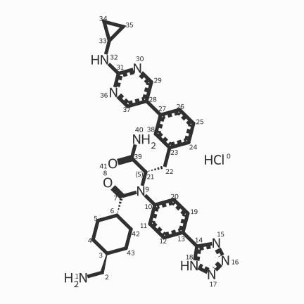 Cl.NC[C@H]1CC[C@H](C(=O)N(c2ccc(-c3nnn[nH]3)cc2)[C@@H](Cc2cccc(-c3cnc(NC4CC4)nc3)c2)C(N)=O)CC1